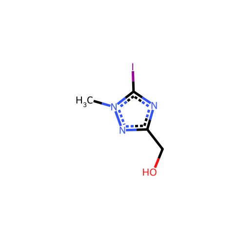 Cn1nc(CO)nc1I